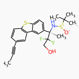 CC#Cc1ccc2sc3ccc([C@@](C)(N[S@+]([O-])C(C)(C)C)C(F)(F)CO)cc3c2c1